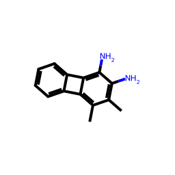 Cc1c(C)c2c(c(N)c1N)-c1ccccc1-2